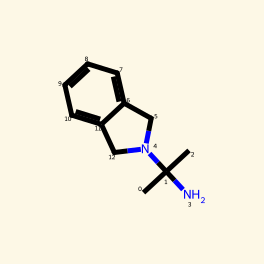 CC(C)(N)N1Cc2ccccc2C1